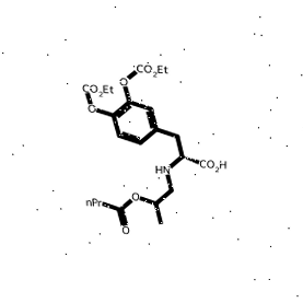 CCCC(=O)OC(C)CN[C@@H](Cc1ccc(OC(=O)OCC)c(OC(=O)OCC)c1)C(=O)O